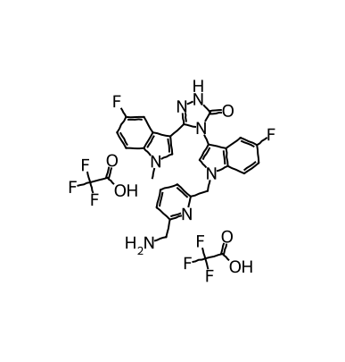 Cn1cc(-c2n[nH]c(=O)n2-c2cn(Cc3cccc(CN)n3)c3ccc(F)cc23)c2cc(F)ccc21.O=C(O)C(F)(F)F.O=C(O)C(F)(F)F